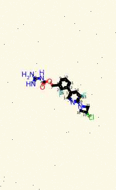 N=C(N)NC(=O)OCc1cccc(-c2cnc(N3CC(Cl)C3)c(F)c2)c1F